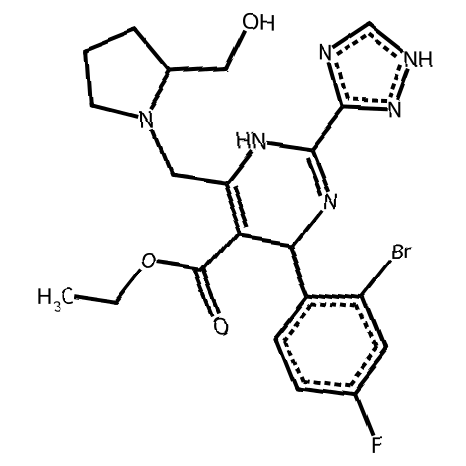 CCOC(=O)C1=C(CN2CCCC2CO)NC(c2nc[nH]n2)=NC1c1ccc(F)cc1Br